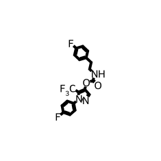 O=C(NCCc1ccc(F)cc1)Oc1cnn(-c2ccc(F)cc2)c1C(F)(F)F